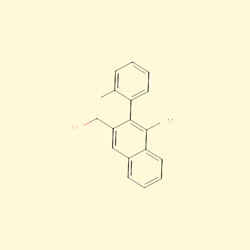 COc1c(-c2ccccc2C)c(CO)cc2ccccc12